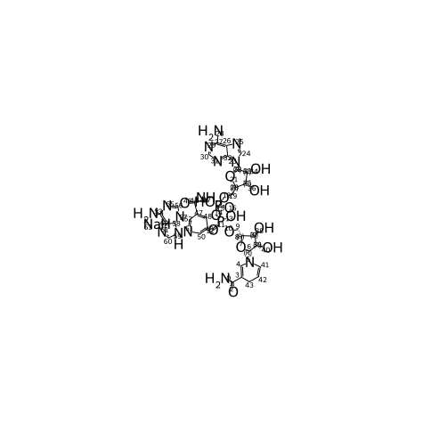 NC(=O)C1=CN([C@@H]2O[C@H](COP(=O)(O)OP(=O)(O)OC[C@H]3O[C@@H](n4cnc5c(N)ncnc54)[C@H](O)[C@@H]3O)[C@@H](O)[C@H]2O)C=CC1.NC(=O)c1cccnc1.Nc1ncnc2[nH]cnc12.[NaH]